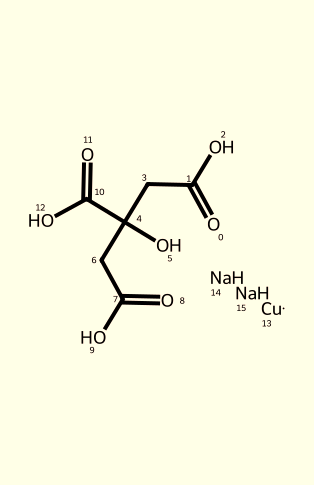 O=C(O)CC(O)(CC(=O)O)C(=O)O.[Cu].[NaH].[NaH]